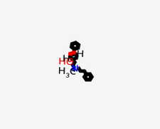 CN(CCCc1ccccc1)CC[C@@]1(O)C[C@@H]2CC[C@H]1C=C2c1ccccc1